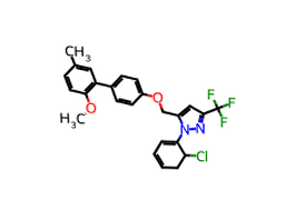 COc1ccc(C)cc1-c1ccc(OCc2cc(C(F)(F)F)nn2C2=CC=CCC2Cl)cc1